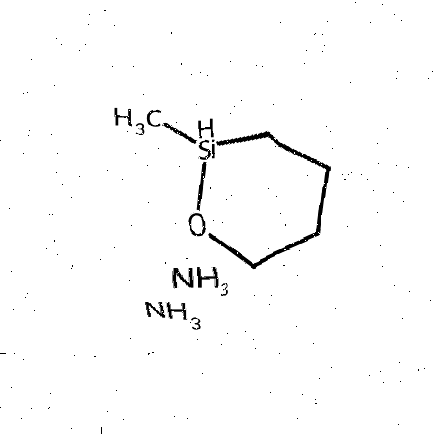 C[SiH]1CCCCO1.N.N